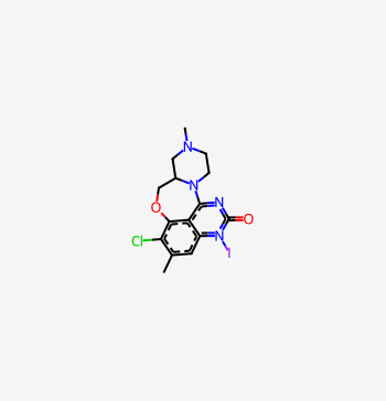 Cc1cc2c3c(nc(=O)n2I)N2CCN(C)CC2COc3c1Cl